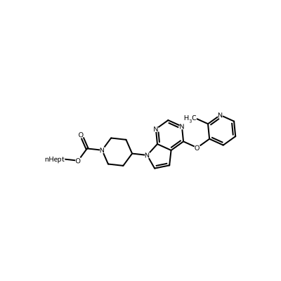 CCCCCCCOC(=O)N1CCC(n2ccc3c(Oc4cccnc4C)ncnc32)CC1